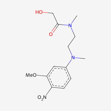 COc1cc(N(C)CCN(C)C(=O)CO)ccc1[N+](=O)[O-]